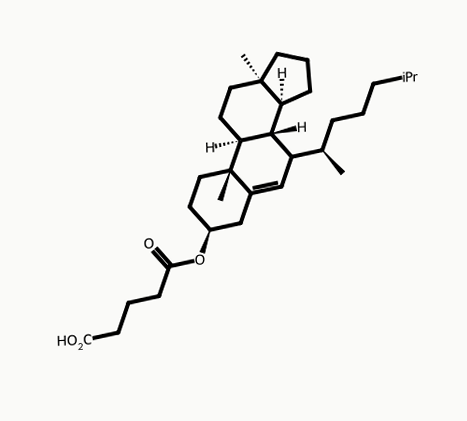 CC(C)CCC[C@@H](C)C1C=C2C[C@@H](OC(=O)CCCC(=O)O)CC[C@]2(C)[C@H]2CC[C@@]3(C)CCC[C@H]3[C@H]12